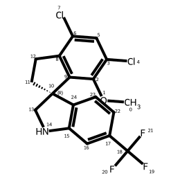 COc1c(Cl)cc(Cl)c2c1[C@]1(CC2)CNc2cc(C(F)(F)F)ccc21